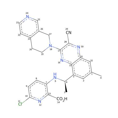 Cc1cc([C@@H](C)Nc2ccc(Cl)nc2C(=O)O)c2nc(N3CCc4ccncc4C3)c(C#N)nc2c1